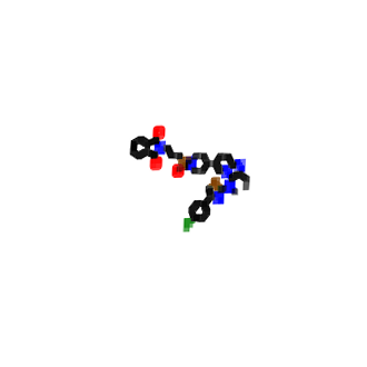 CCc1nc2ccc(C3CCN([S+]([O-])CCCN4C(=O)c5ccccc5C4=O)CC3)cn2c1N(C)c1nc(-c2ccc(F)cc2)cs1